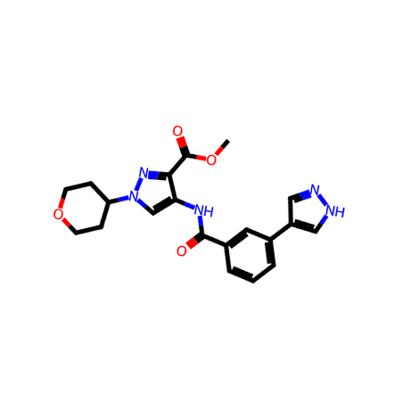 COC(=O)c1nn(C2CCOCC2)cc1NC(=O)c1cccc(-c2cn[nH]c2)c1